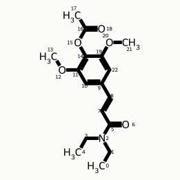 CCN(CC)C(=O)/C=C/c1cc(OC)c(OC(C)=O)c(OC)c1